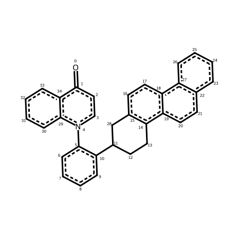 O=c1ccn(-c2ccccc2C2CCc3c(ccc4c3ccc3ccccc34)C2)c2ccccc12